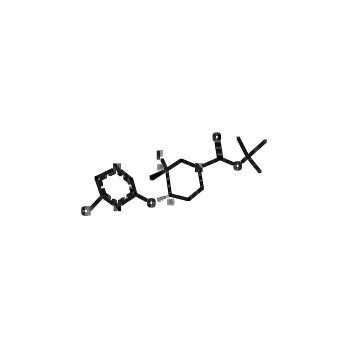 CC(C)(C)OC(=O)N1CC[C@H](Oc2cncc(Cl)n2)[C@](C)(F)C1